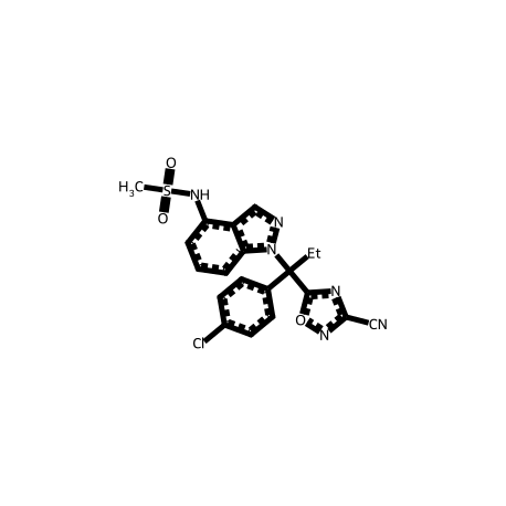 CCC(c1ccc(Cl)cc1)(c1nc(C#N)no1)n1ncc2c(NS(C)(=O)=O)cccc21